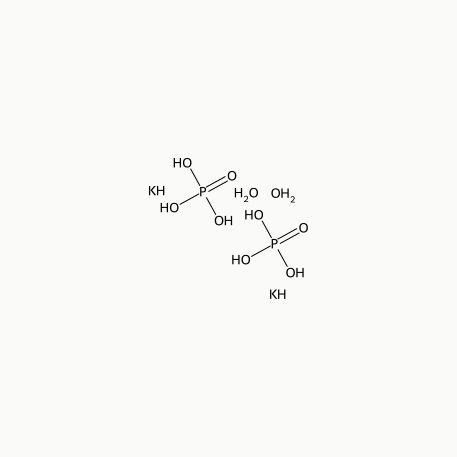 O.O.O=P(O)(O)O.O=P(O)(O)O.[KH].[KH]